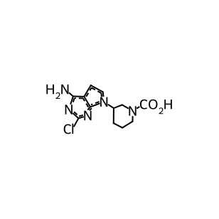 Nc1nc(Cl)nc2c1ccn2C1CCCN(C(=O)O)C1